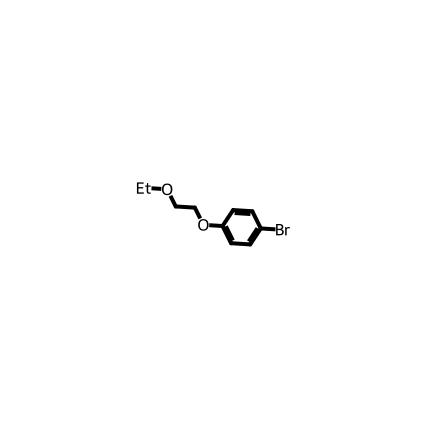 CCOCCOc1ccc(Br)cc1